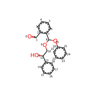 O=Cc1ccccc1C(OCC(O)c1ccccc1)Oc1cc[c]cc1